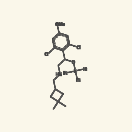 CC[Si](CC)(CC)OC(CNCC1CC(C)(C)C1)c1c(Cl)cc(OC)cc1Cl